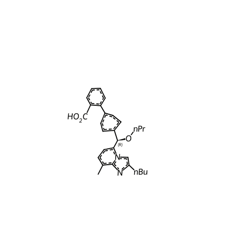 CCCCc1cn2c([C@H](OCCC)c3ccc(-c4ccccc4C(=O)O)cc3)ccc(C)c2n1